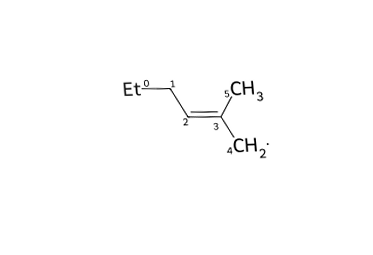 [CH2]CCC=C([CH2])C